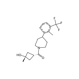 Cc1c(C2CCN(C(=O)[C@H]3C[C@@](C)(O)C3)CC2)cccc1C(F)(F)F